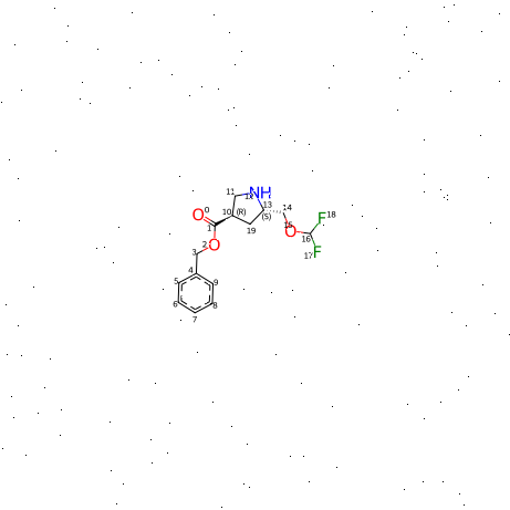 O=C(OCc1ccccc1)[C@H]1CN[C@H](COC(F)F)C1